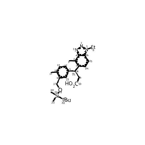 CCn1nnc2c(C)c([C@@H](CC(=O)O)c3ccc(C)c(CO[Si](C)(C)C(C)(C)C)c3)ccc21